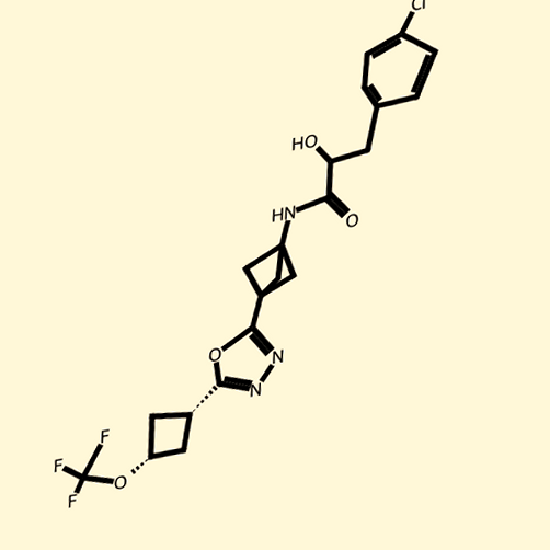 O=C(NC12CC(c3nnc([C@H]4C[C@@H](OC(F)(F)F)C4)o3)(C1)C2)C(O)Cc1ccc(Cl)cc1